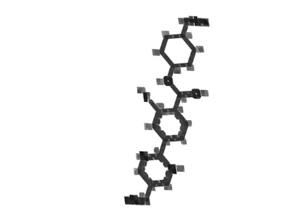 CCCCCCCCCc1cnc(-c2ccc(C(=O)OC3CCC(CCCCCC)CC3)c(F)c2)nc1